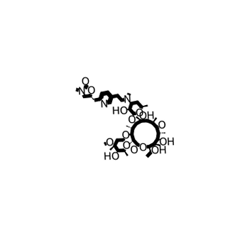 CC[C@H]1OC(=O)[C@H](C)[C@@H](O[C@H]2C[C@@](C)(OC)[C@@H](O)[C@H](C)O2)[C@H](C)[C@@H](O[C@@H]2O[C@H](C)C[C@H](N(C)CCc3ccc(C[C@@H]4CN(C)C(=O)O4)nc3)[C@H]2O)[C@](C)(O)C[C@@H](C)C(=O)[C@H](C)[C@@H](O)[C@]1(C)O